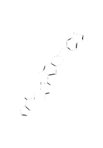 O=C(NC[C@H](NC(=O)c1c(Cl)cc2c(c1Cl)CCN(Cc1ccc3cc[nH]c3c1)C2)C(=O)O)c1cccs1